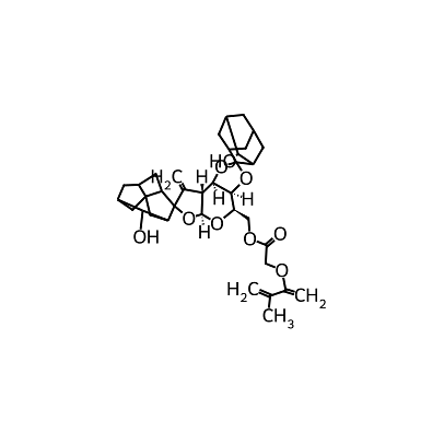 C=C(C)C(=C)OCC(=O)OC[C@H]1O[C@H]2OC3(C(=C)[C@@H]2[C@H]2OC4(O[C@H]21)C1CC2CC(C1)C(O)C4C2)C1CC24CC(CC2CC43)C1O